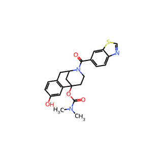 CN(C)C(=O)OC12CCN(C(=O)c3ccc4ncsc4c3)C(Cc3ccc(O)cc31)C2